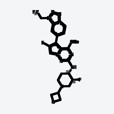 COc1nc(N[C@H]2CCN(C3COC3)C[C@@H]2F)nn2cc(F)c(-c3ccc4nnn(CC(F)(F)F)c4c3)c12